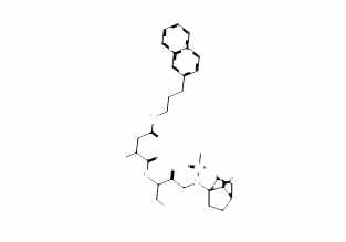 CC(C)C(CC(=O)NCCCc1ccc2ccccc2c1)C(=O)NC(CC(=O)O)C(=O)CN(C12CCC(CC1=O)C2(C)C)S(C)(=O)=O